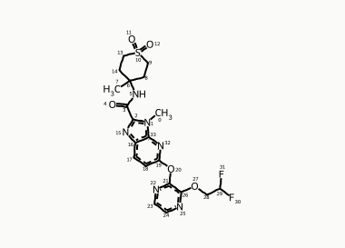 Cn1c(C(=O)NC2(C)CCS(=O)(=O)CC2)nc2ccc(Oc3nccnc3OCC(F)F)nc21